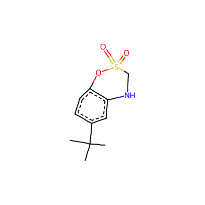 CC(C)(C)c1ccc2c(c1)NCS(=O)(=O)O2